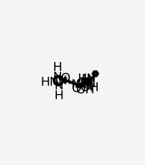 O=C(NCCCCCC(=O)N1CCNCCNCCNCC1)[C@H]1O[C@@H](n2cnc3c(NCc4ccccc4)ncnc32)[C@H](O)[C@@H]1O